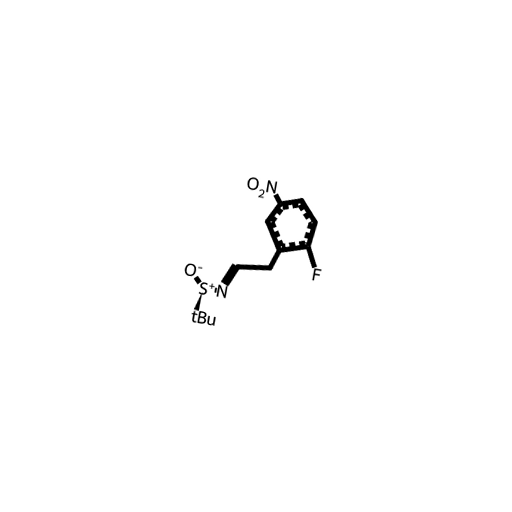 CC(C)(C)[S@@+]([O-])/N=C/Cc1cc([N+](=O)[O-])ccc1F